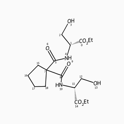 CCOC(=O)[C@@H](CO)NC(=O)C1(C(=O)N[C@H](CO)C(=O)OCC)CCCC1